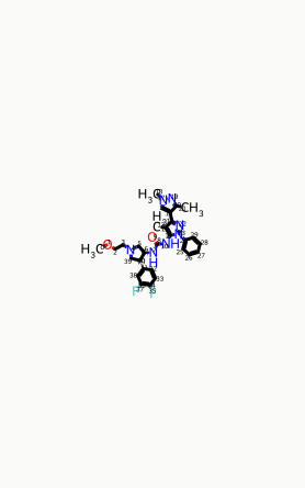 COCCN1C[C@@H](NC(=O)Nc2c(C)c(-c3cn(C)nc3C)nn2-c2ccccc2)[C@H](c2ccc(F)c(F)c2)C1